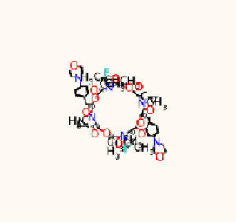 C[C@H]1OC(=O)C(CC2CC2)N(C)C(=O)[C@@H](Cc2ccc(N3CCOCC3)cc2)OC(=O)[C@H](CC(C)(C)F)N(C)C(=O)[C@@H](C)OC(=O)[C@H](CC2CC2)N(C)C(=O)[C@@H](Cc2ccc(N3CCOCC3)cc2)OC(=O)[C@H](CC(C)(C)F)N(C)C1=O